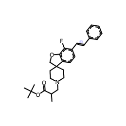 CC(CN1CCC2(CC1)COc1c2ccc(/C=C/c2ccccc2)c1F)C(=O)OC(C)(C)C